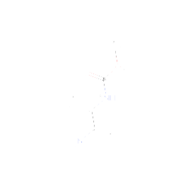 CC[C@H](N)[C@H](C)NC(=O)OC(C)(C)C